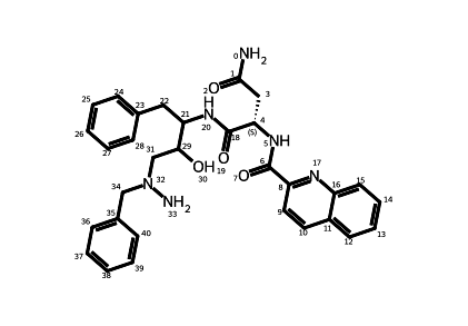 NC(=O)C[C@H](NC(=O)c1ccc2ccccc2n1)C(=O)NC(Cc1ccccc1)C(O)CN(N)Cc1ccccc1